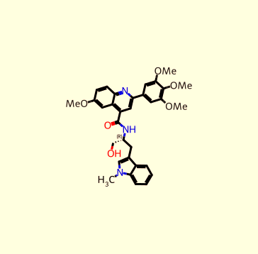 COc1ccc2nc(-c3cc(OC)c(OC)c(OC)c3)cc(C(=O)N[C@@H](CO)Cc3cn(C)c4ccccc34)c2c1